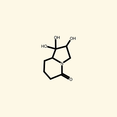 O=C1CCCC2N1CC(O)C2(O)O